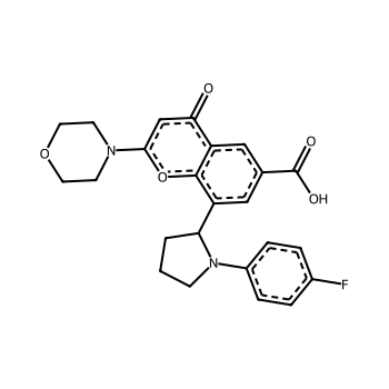 O=C(O)c1cc(C2CCCN2c2ccc(F)cc2)c2oc(N3CCOCC3)cc(=O)c2c1